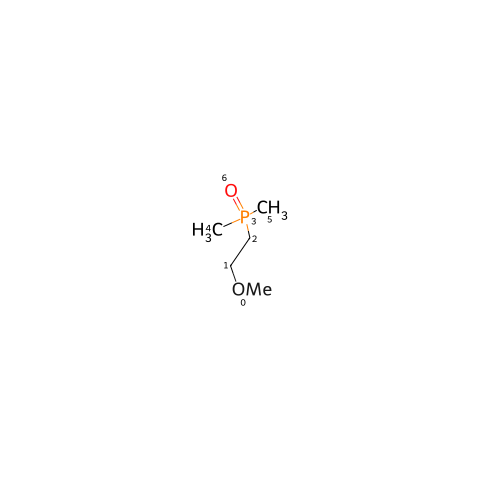 COCCP(C)(C)=O